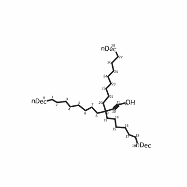 CCCCCCCCCCCCCCCCCCC(C#CO)(CCCCCCCCCCCCCCCC)CCCCCCCCCCCCCCCCCC